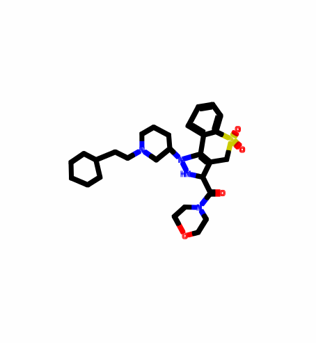 O=C(C1NN(C2CCCN(CCC3CCCCC3)C2)C2=C1CS(=O)(=O)c1ccccc12)N1CCOCC1